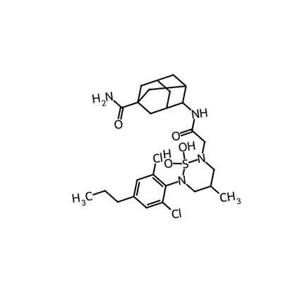 CCCc1cc(Cl)c(N2CC(C)CN(CC(=O)NC3C4CC5CC3CC(C(N)=O)(C5)C4)S2(O)O)c(Cl)c1